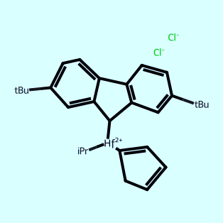 C[CH](C)[Hf+2]([C]1=CC=CC1)[CH]1c2cc(C(C)(C)C)ccc2-c2ccc(C(C)(C)C)cc21.[Cl-].[Cl-]